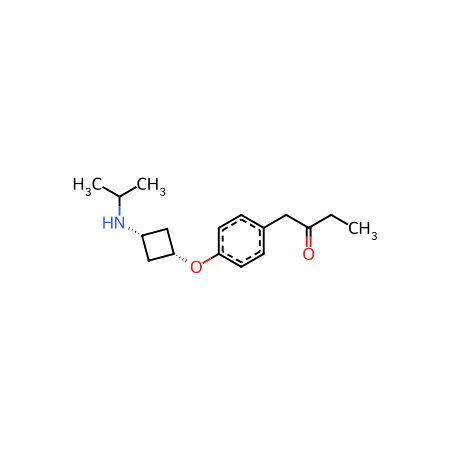 CCC(=O)Cc1ccc(O[C@H]2C[C@@H](NC(C)C)C2)cc1